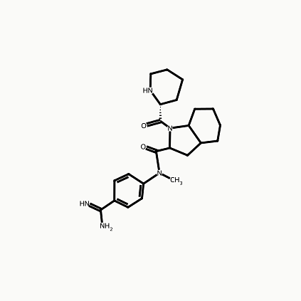 CN(C(=O)C1CC2CCCCC2N1C(=O)[C@H]1CCCCN1)c1ccc(C(=N)N)cc1